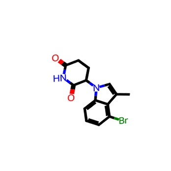 Cc1cn(C2CCC(=O)NC2=O)c2cccc(Br)c12